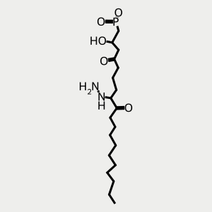 CCCCCCCCCCC(=O)C(CCCC(=O)CC(O)CP(=O)=O)NN